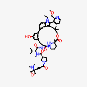 CCn1c(-c2cccnc2COC)c2c3cc(ccc31)-c1cc(O)cc(c1)C[C@H](NC(=O)[C@H](C(C)C)N(C)C(=O)[C@H]1CCN(C(=O)C#CC3(N(C)C)COC3)C1)C(=O)N1CCC[C@H](N1)C(=O)OCC(C)(C)C2